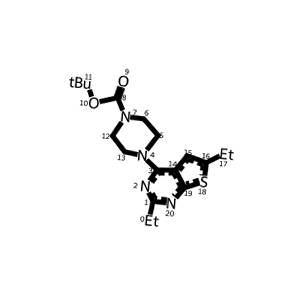 CCc1nc(N2CCN(C(=O)OC(C)(C)C)CC2)c2cc(CC)sc2n1